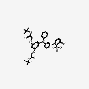 CC(C)(C)OC(=O)COc1cc(OCC(=O)OC(C)(C)C)cc([S+](c2ccccc2)c2ccccc2)c1.O=S(=O)([O-])c1c(F)cccc1F